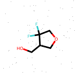 OCC1COCC1(F)F